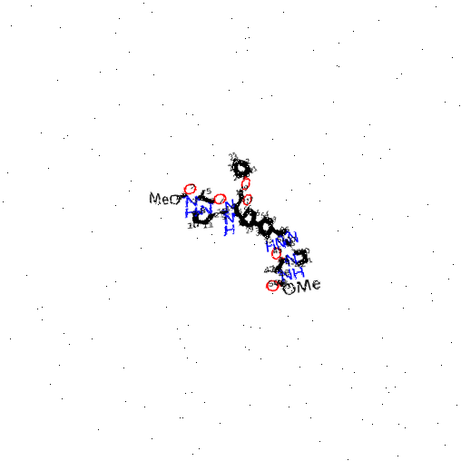 COC(=O)N[C@@H](C)C(=O)N1CCC[C@H]1c1nc(C(=O)COc2ccccc2)c(-c2ccc(-c3ccc(-c4cnc([C@@H]5CCCN5C(=O)[C@@H](C)NC(=O)OC)[nH]4)cc3)cc2)[nH]1